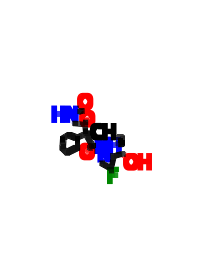 CC(C(=O)NN1CC(F)C1CO)(c1ccccc1)C1CNC(=O)O1